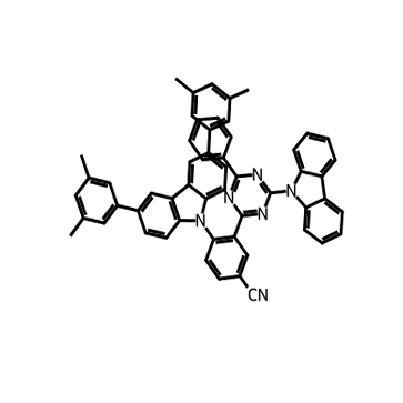 Cc1cc(C)cc(-c2ccc3c(c2)c2cc(-c4cc(C)cc(C)c4)ccc2n3-c2ccc(C#N)cc2-c2nc(-c3ccccc3)nc(-n3c4ccccc4c4ccccc43)n2)c1